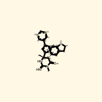 CN1C(=N)N[C@](C)(c2cc(-c3cncnc3)cs2)[C@H](c2ccc3c(c2)CCO3)C1=O